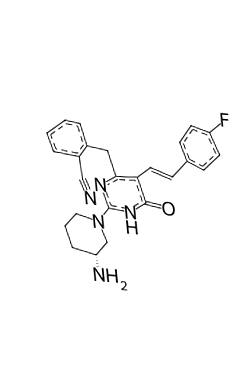 N#Cc1ccccc1Cc1nc(N2CCC[C@@H](N)C2)[nH]c(=O)c1C=Cc1ccc(F)cc1